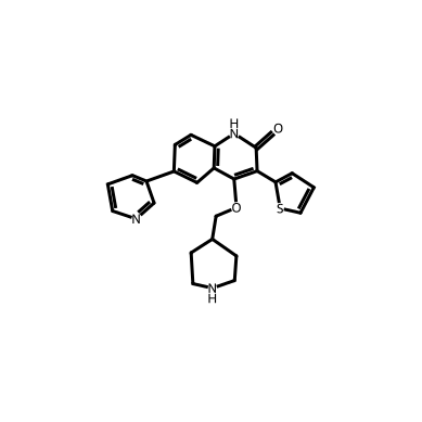 O=c1[nH]c2ccc(-c3cccnc3)cc2c(OCC2CCNCC2)c1-c1cccs1